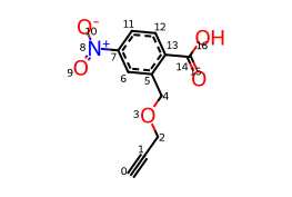 C#CCOCc1cc([N+](=O)[O-])ccc1C(=O)O